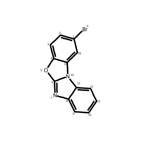 Brc1ccc2oc3nc4ccccc4n3c2c1